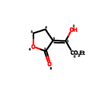 CCOC(=O)C(O)=C1CCOC1=O